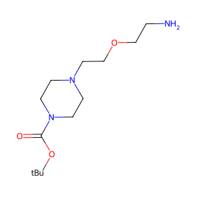 CC(C)(C)OC(=O)N1CCN(CCOCCN)CC1